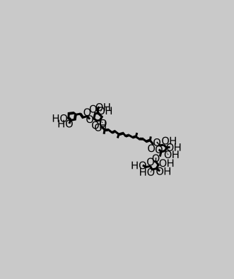 CC(/C=C/C=C(\C)C(=O)O[C@@H]1OC(CO[C@@H]2OC(CO)[C@@H](O)C(O)C2O)[C@@H](O)C(O)C1O)=C\C=C\C=C(C)\C=C\C=C(/C)C(=O)O[C@H]1C[C@](O)(C(=O)O)C[C@@H](OC(=O)/C=C/c2ccc(O)c(O)c2)[C@H]1O